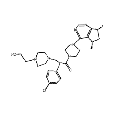 C[C@@H]1C[C@H](F)c2ncnc(N3CCN(C(=O)[C@H](CN4CCN(CCO)CC4)c4ccc(Cl)cc4)CC3)c21